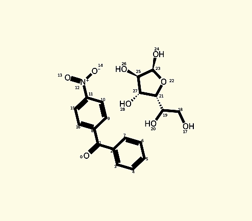 O=C(c1ccccc1)c1ccc([N+](=O)[O-])cc1.OCC(O)[C@H]1O[C@H](O)[C@H](O)[C@H]1O